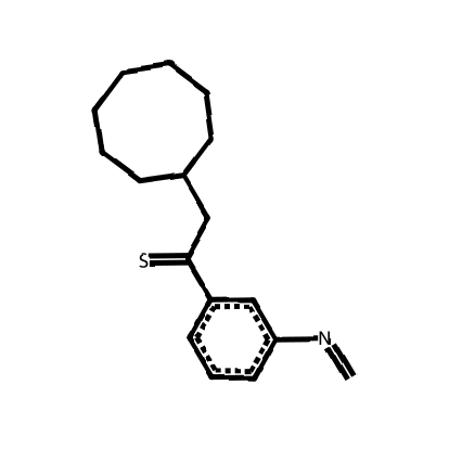 C=Nc1cccc(C(=S)CC2CCCCCCC2)c1